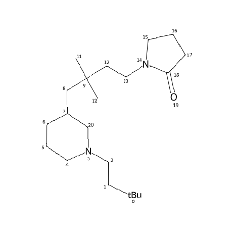 CC(C)(C)CCN1CCCC(CC(C)(C)CCN2CCCC2=O)C1